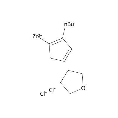 C1CCOC1.CCCCC1=[C]([Zr+2])CC=C1.[Cl-].[Cl-]